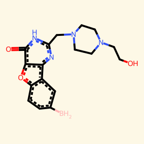 Bc1ccc2oc3c(=O)[nH]c(CN4CCN(CCO)CC4)nc3c2c1